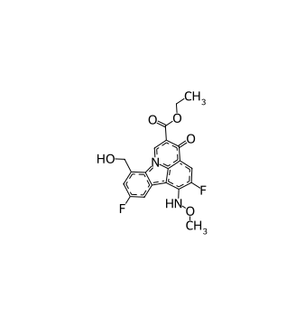 CCOC(=O)c1cn2c3c(CO)cc(F)cc3c3c(NOC)c(F)cc(c1=O)c32